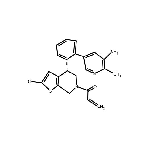 C=CC(=O)N1Cc2sc(Cl)cc2[C@H](c2ccccc2-c2cnc(C)c(C)c2)C1